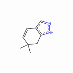 CC1(C)C=Cc2[c]n[nH]c2C1